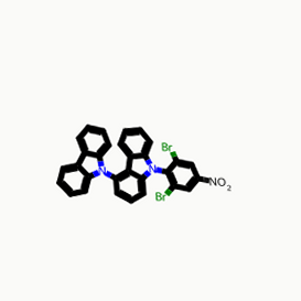 O=[N+]([O-])c1cc(Br)c(-n2c3ccccc3c3c(-n4c5ccccc5c5ccccc54)cccc32)c(Br)c1